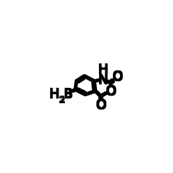 Bc1ccc2[nH]c(=O)oc(=O)c2c1